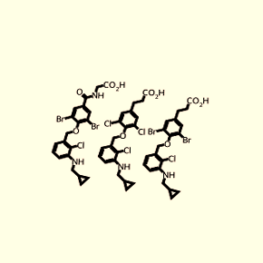 O=C(O)CCc1cc(Br)c(OCc2cccc(NCC3CC3)c2Cl)c(Br)c1.O=C(O)CCc1cc(Cl)c(OCc2cccc(NCC3CC3)c2Cl)c(Cl)c1.O=C(O)CNC(=O)c1cc(Br)c(OCc2cccc(NCC3CC3)c2Cl)c(Br)c1